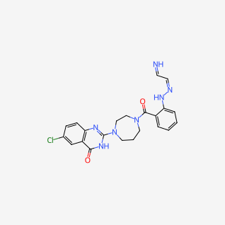 N=C/C=N\Nc1ccccc1C(=O)N1CCCN(c2nc3ccc(Cl)cc3c(=O)[nH]2)CC1